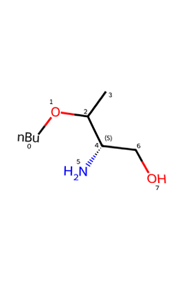 CCCCOC(C)[C@@H](N)CO